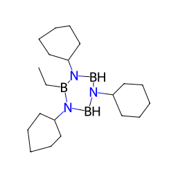 CCB1N(C2CCCCC2)BN(C2CCCCC2)BN1C1CCCCC1